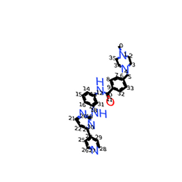 CN1CCN(Cc2ccc(C(=O)Nc3cccc(Nc4nccc(-c5ccncc5)n4)c3)cc2)CC1